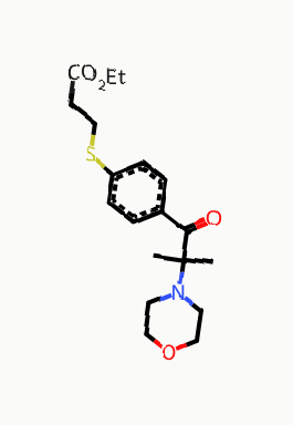 CCOC(=O)CCSc1ccc(C(=O)C(C)(C)N2CCOCC2)cc1